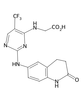 O=C(O)CNc1nc(Nc2ccc3c(c2)CCC(=O)N3)ncc1C(F)(F)F